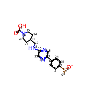 C[S+]([O-])c1ccc(-c2cnc(NCC3CCN(C(=O)O)CC3)cn2)cc1